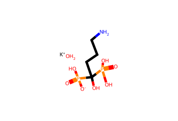 NCCCC(O)(P(=O)([O-])O)P(=O)(O)O.O.[K+]